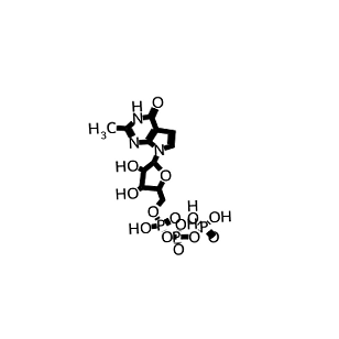 Cc1nc2c(ccn2C2OC(COP(=O)(O)OP(=O)(O)OP(=O)(O)O)C(O)C2O)c(=O)[nH]1